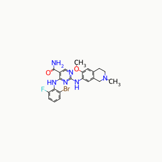 COc1cc2c(cc1Nc1ncc(C(N)=O)c(Nc3c(F)cccc3Br)n1)CN(C)CC2